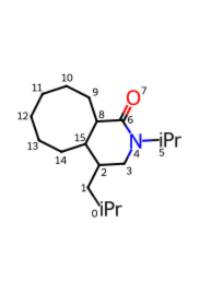 CC(C)CC1CN(C(C)C)C(=O)C2CCCCCCC12